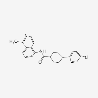 Cc1nccc2c(NC(=O)C3CCC(c4ccc(Cl)cc4)CC3)cccc12